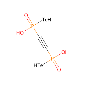 O=P(O)([TeH])C#CP(=O)(O)[TeH]